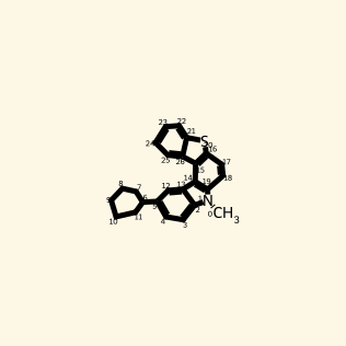 Cn1c2ccc(C3CCCCC3)cc2c2c3c(ccc21)sc1ccccc13